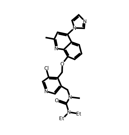 CCN(CC)C(=O)N(C)Cc1cncc(Cl)c1COc1cccc2c(-n3ccnc3)cc(C)nc12